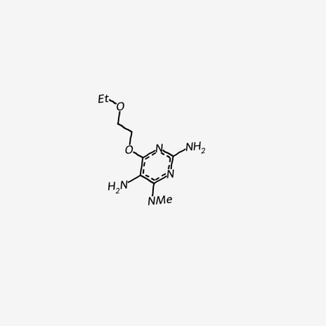 CCOCCOc1nc(N)nc(NC)c1N